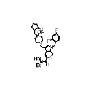 CCN(O)C(=O)c1cc2c(CN3CCC(O)(CC4CCCC4=O)CC3)cn(Cc3ccc(F)cc3F)c2cn1